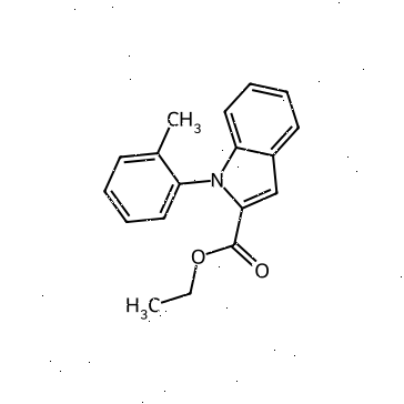 CCOC(=O)c1cc2ccccc2n1-c1ccccc1C